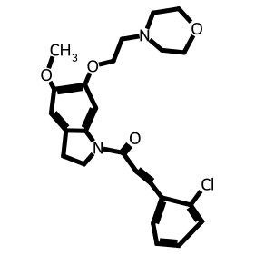 COc1cc2c(cc1OCCN1CCOCC1)N(C(=O)C=Cc1ccccc1Cl)CC2